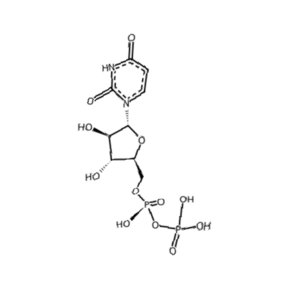 O=c1ccn([C@@H]2O[C@@H](CO[P@@](=O)(O)OP(=O)(O)O)[C@H](O)[C@H]2O)c(=O)[nH]1